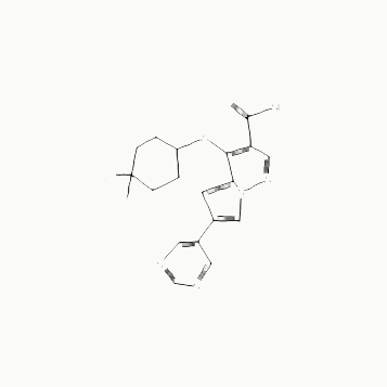 CC1(O)CCC(Nc2c(C(N)=O)cnn3cc(-c4cncnc4)cc23)CC1